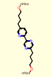 CCCCCCOCCCCc1ccc(-c2cnc(CCCCOCCCCCC)cn2)nc1